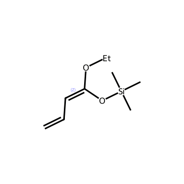 C=C/C=C(/OCC)O[Si](C)(C)C